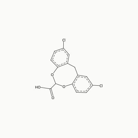 O=C(O)C1Oc2ccc(Cl)cc2Cc2cc(Cl)ccc2O1